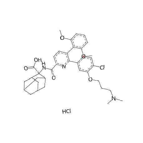 COc1cccc(OC)c1-c1ccc(C(=O)NC2(C(=O)O)C3CC4CC(C3)CC2C4)nc1-c1ccc(Cl)c(OCCCN(C)C)c1.Cl